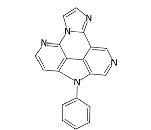 c1ccc(-n2c3cncc4c3c3c2ccnc3n2ccnc42)cc1